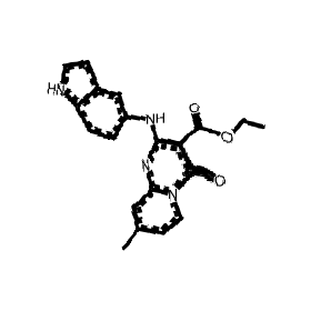 CCOC(=O)c1c(Nc2ccc3[nH]ccc3c2)nc2cc(C)ccn2c1=O